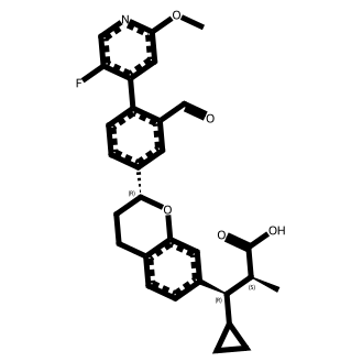 COc1cc(-c2ccc([C@H]3CCc4ccc([C@H](C5CC5)[C@H](C)C(=O)O)cc4O3)cc2C=O)c(F)cn1